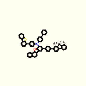 CC1(C)c2ccccc2-c2ccc(-c3ccc(-c4cc(N(c5ccc(-c6ccccc6)cc5)c5ccc(-c6cccc7c6sc6ccccc67)cc5)c5oc6c7ccccc7ccc6c5c4)cc3)cc21